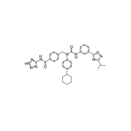 CC(C)c1noc(-c2cccc(NC(=O)N(Cc3ccc(C(=O)Nc4nn[nH]n4)cc3)c3ccc(C4CCCCC4)cc3)c2)n1